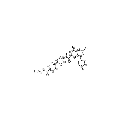 CN1CCN(c2cc(F)cc3c(=O)cc(C(=O)Nc4ccc(N5CCN(C(=O)CCO)CC5)cc4)oc23)CC1